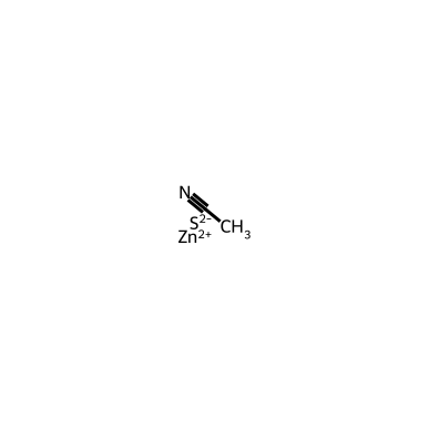 CC#N.[S-2].[Zn+2]